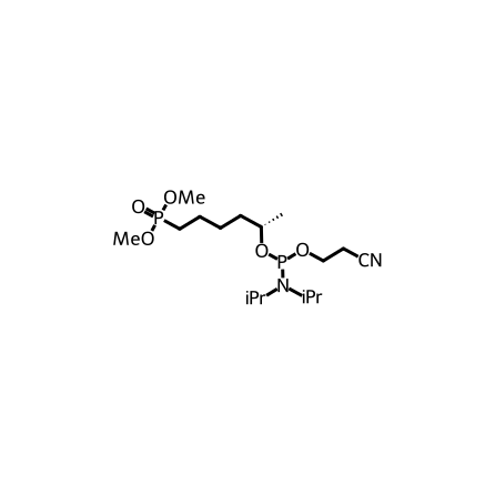 COP(=O)(CCCC[C@H](C)OP(OCCC#N)N(C(C)C)C(C)C)OC